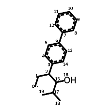 [CH2]CC(c1ccc(-c2ccccc2)cc1)C(O)C(C)C